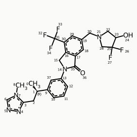 C[C@H](Cc1nncn1C)c1cccc(N2Cc3c(cc(CN4CC(O)C(F)(F)C4)cc3C(F)(F)F)C2=O)c1